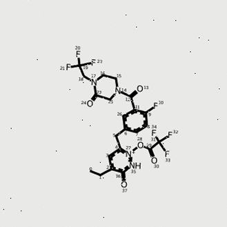 CCc1cc(Cc2ccc(F)c(C(=O)N3CCN(CC(F)(F)F)C(=O)C3)c2)[n+](OC(=O)C(F)(F)F)[nH]c1=O